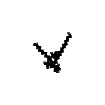 CCCCCCCCCCCCc1[c]([Sn]([CH3])([CH3])[CH3])sc(-c2cccs2)c1CCCC(CCCCCCCCCCCC)[CH](C)[Sn]([CH3])([CH3])[CH3]